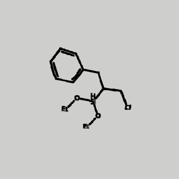 CCO[SiH](OCC)C(CCl)Cc1ccccc1